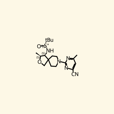 Cc1cc(C#N)nc(N2CCC3(CC2)CO[C@@H](C)[C@H]3N[S@+]([O-])C(C)(C)C)n1